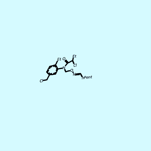 CCCCCC=NOCN(C(=O)C(Cl)CC)c1cc(CCl)ccc1CC